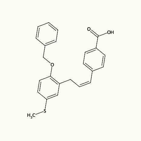 CSc1ccc(OCc2ccccc2)c(C/C=C\c2ccc(C(=O)O)cc2)c1